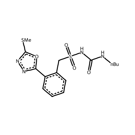 CCCCNC(=O)NS(=O)(=O)Cc1ccccc1-c1nnc(SC)o1